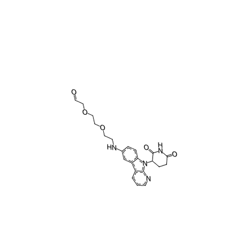 O=CCOCCOCCNc1ccc2c(c1)c1cccnc1n2C1CCC(=O)NC1=O